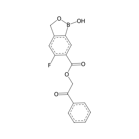 O=C(COC(=O)c1cc2c(cc1F)COB2O)c1ccccc1